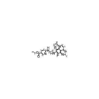 CCOC(=O)c1ccc(NCCNc2c(F)c(N)c3c(=O)ccn(C4CC4)c3c2OC)nc1